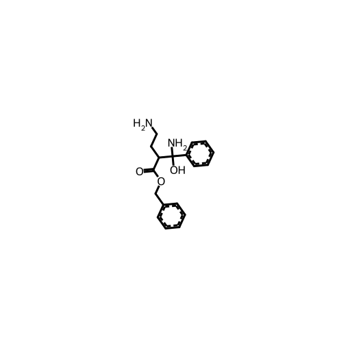 NCCC(C(=O)OCc1ccccc1)C(N)(O)c1ccccc1